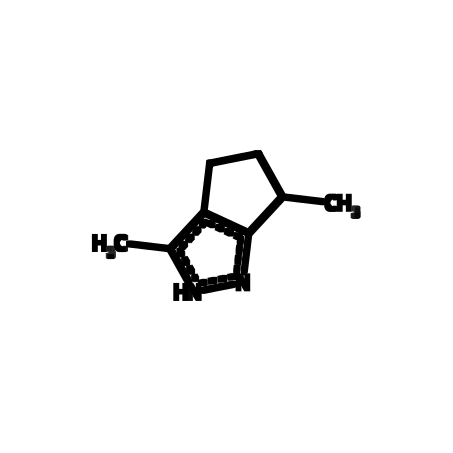 Cc1[nH]nc2c1CCC2C